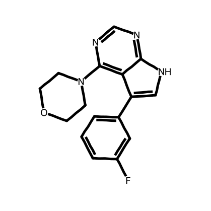 Fc1cccc(-c2c[nH]c3ncnc(N4CCOCC4)c23)c1